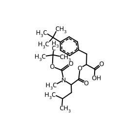 CC(C)CC(C(=O)OC(Cc1ccc(C(C)(C)C)cc1)C(=O)O)N(C)C(=O)OC(C)(C)C